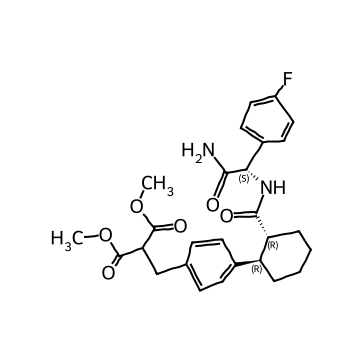 COC(=O)C(Cc1ccc([C@@H]2CCCC[C@H]2C(=O)N[C@H](C(N)=O)c2ccc(F)cc2)cc1)C(=O)OC